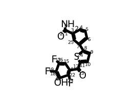 NC(=O)c1cccc(-c2ccc(C(=O)c3cc(F)c(F)c(O)c3F)s2)c1